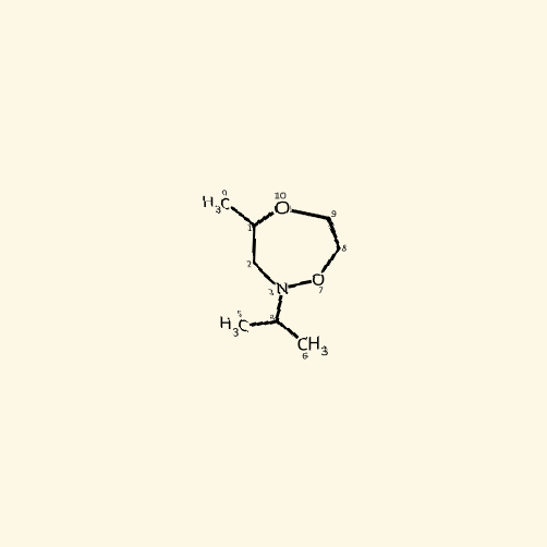 CC1CN(C(C)C)OCCO1